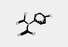 O=C(Cl)N(C(=O)Cl)c1ccc(Cl)cc1